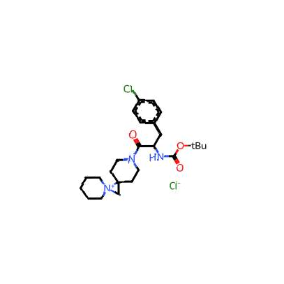 CC(C)(C)OC(=O)NC(Cc1ccc(Cl)cc1)C(=O)N1CCC2(CC1)C[N+]21CCCCC1.[Cl-]